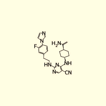 C=C(N)[C@H]1CC[C@@H](Nc2nc(NCCc3ccc(-n4ccnc4)c(F)c3)ncc2C#N)CC1